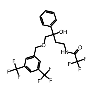 O=C(NCCC(O)(COCc1cc(C(F)(F)F)cc(C(F)(F)F)c1)c1ccccc1)C(F)(F)F